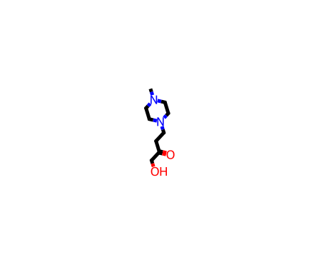 CN1CCN(CCC(=O)CO)CC1